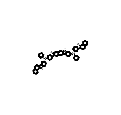 c1ccc(N(c2ccc3c(c2)sc2cc4cc5sc6cc(N(c7ccccc7)c7ccc8sc9c%10ccccc%10ccc9c8c7)ccc6c5cc4cc23)c2ccc3sc4c5ccccc5ccc4c3c2)cc1